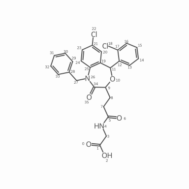 O=C(O)CNC(=O)CCC1OC(c2ccccc2Cl)c2cc(Cl)ccc2N(Cc2ccccc2)C1=O